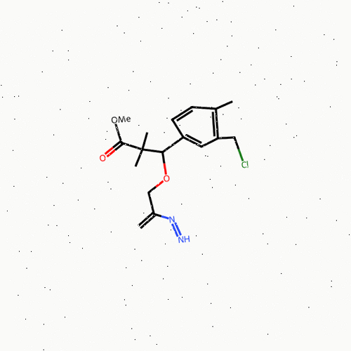 C=C(COC(c1ccc(C)c(CCl)c1)C(C)(C)C(=O)OC)N=N